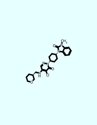 Cn1c(=O)n([C@H]2CC[C@@H](n3ncc(NC[C@@H]4CCCOC4)c(Cl)c3=O)CC2)c2ccccc21